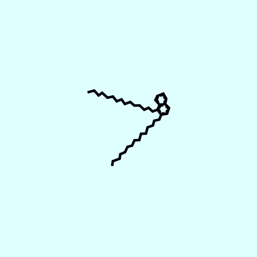 CCCCCCCCCCCCCCCc1ccc2ccccc2c1CCCCCCCCCCCCCCC